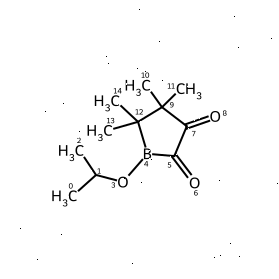 CC(C)OB1C(=O)C(=O)C(C)(C)C1(C)C